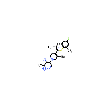 C=C(N)/C(N)=C(\C=N)N1CCC(/C(Sc2ccc(F)cc2C(F)(F)F)=C(\C)CC)=C(C(C)CC)C1